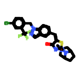 CN1CC2CCC(C1)N2C1=NC(=O)C(=Cc2ccc3c(cnn3Cc3ccc(Cl)cc3C(F)(F)F)c2)S1